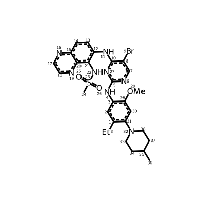 CCc1cc(Nc2ncc(Br)c(Nc3ccc4nccnc4c3NS(C)(=O)=O)n2)c(OC)cc1N1CCC(C)CC1